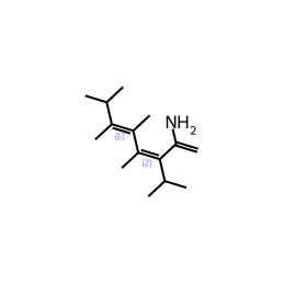 C=C(N)/C(=C(C)\C(C)=C(/C)C(C)C)C(C)C